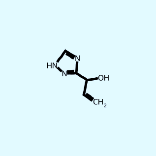 C=CC(O)c1n[c][nH]n1